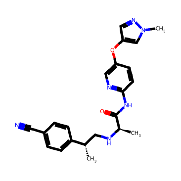 C[C@@H](NC[C@H](C)c1ccc(C#N)cc1)C(=O)Nc1ccc(Oc2cnn(C)c2)cn1